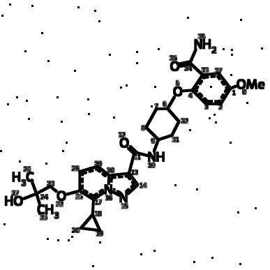 COc1ccc(OC2CCC(NC(=O)c3cnn4c(C5CC5)c(OCC(C)(C)O)ccc34)CC2)c(C(N)=O)c1